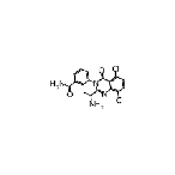 C[C@H](N)c1nc2c(Cl)ccc(Cl)c2c(=O)n1-c1cccc(C(N)=O)c1